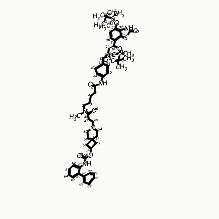 CN(CCCCC(=O)Nc1ccc(CNC[C@H](O[Si](C)(C)C(C)(C)C)c2ccc(O[Si](C)(C)C(C)(C)C)c3[nH]c(=O)sc23)cc1)C(=O)CCN1CCC2(CC1)CC(OC(=O)Nc1ccccc1-c1ccccc1)C2